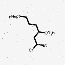 CCCCCCCCCCC(CC(CC)CC)C(=O)O